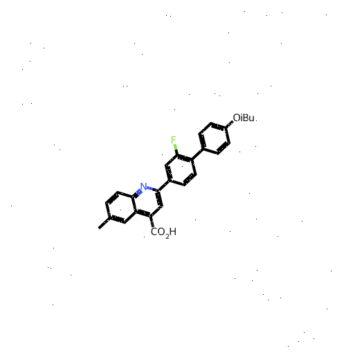 Cc1ccc2nc(-c3ccc(-c4ccc(OCC(C)C)cc4)c(F)c3)cc(C(=O)O)c2c1